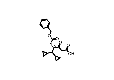 O=C(O)CC(=O)[C@@H](NC(=O)OCc1ccccc1)C(C1CC1)C1CC1